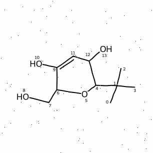 CC(C)(C)C1OC(CO)C(O)=CC1O